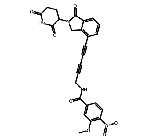 COc1cc(C(=O)NCC#CC#Cc2cccc3c2CN(C2CCC(=O)NC2=O)C3=O)ccc1[N+](=O)[O-]